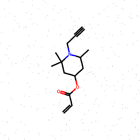 C#CCN1C(C)CC(OC(=O)C=C)CC1(C)C